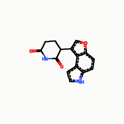 O=C1CCC(c2coc3ccc4[nH]ccc4c23)C(=O)N1